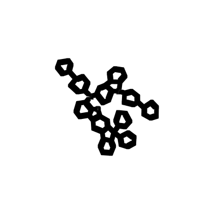 c1ccc(-c2ccc(N(c3ccc4c(c3)c3ccccc3n4-c3ccc(-c4ccccc4)cc3)c3cccc4c3oc3cc5c(cc34)-c3ccccc3C5(c3ccccc3)c3ccccc3)cc2)cc1